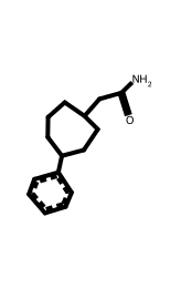 NC(=O)CC1CCCC(c2ccccc2)CC1